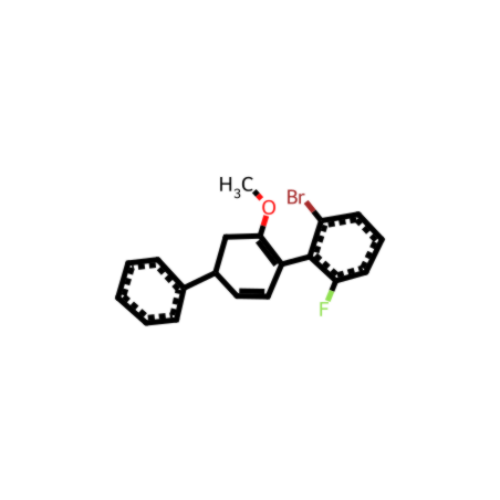 COC1=C(c2c(F)cccc2Br)C=CC(c2ccccc2)C1